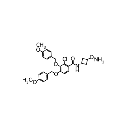 COc1ccc(COc2ccc(C(=O)N[C@H]3C[C@H](ON)C3)c(Cl)c2OCc2ccc(OC)cc2)cc1